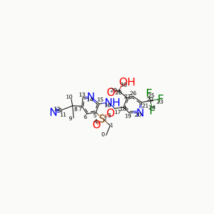 CCS(=O)(=O)c1cc(C(C)(C)C#N)cnc1NCc1cnc(C(F)(F)F)cc1C(=O)O